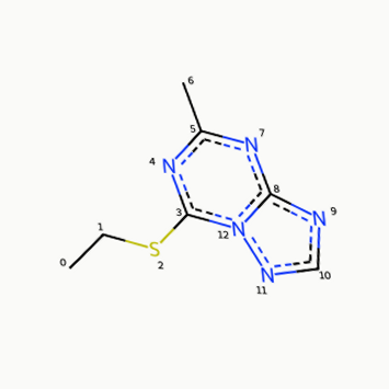 CCSc1nc(C)nc2ncnn12